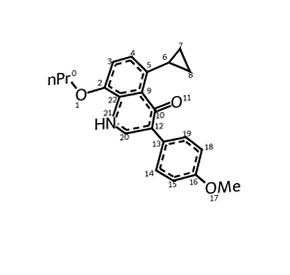 CCCOc1ccc(C2CC2)c2c(=O)c(-c3ccc(OC)cc3)c[nH]c12